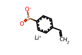 C=Cc1ccc(S(=O)[O-])cc1.[Li+]